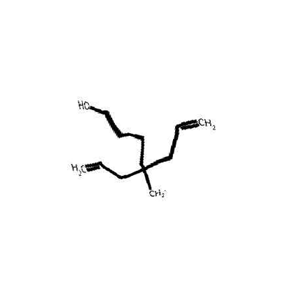 [CH2]C(CC=C)(CC=C)CCCO